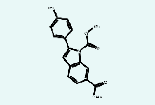 COC(=O)c1ccc2cc(-c3ccc(C(C)(C)C)cc3)n(C(=O)OC(C)(C)C)c2c1